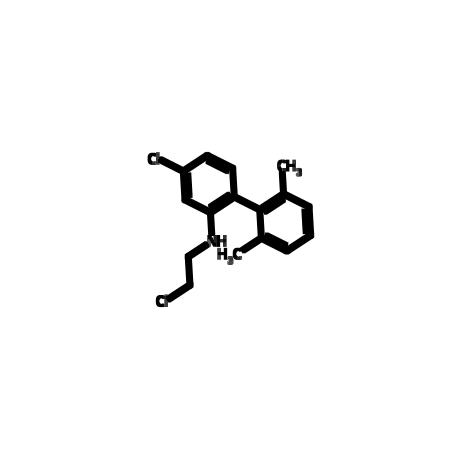 Cc1cccc(C)c1-c1ccc(Cl)cc1NCCCl